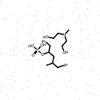 CC(C)CC(C)CC(CC(C)C)OP(=O)(O)O.CN(CCO)CCO